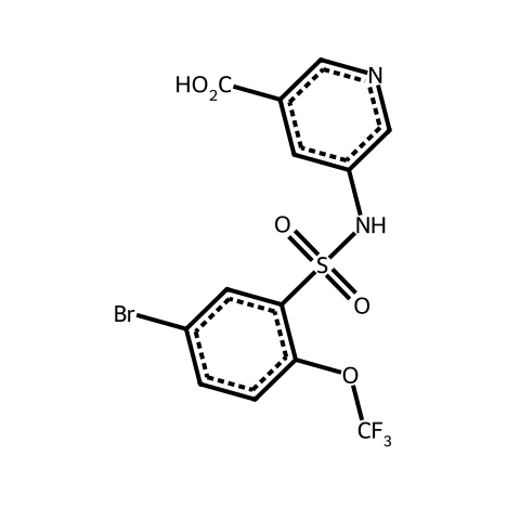 O=C(O)c1cncc(NS(=O)(=O)c2cc(Br)ccc2OC(F)(F)F)c1